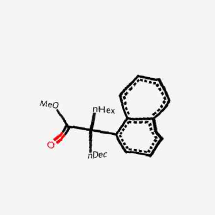 CCCCCCCCCCC(CCCCCC)(C(=O)OC)c1cccc2ccccc12